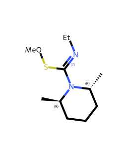 CC/N=C(\SOC)N1[C@H](C)CCC[C@H]1C